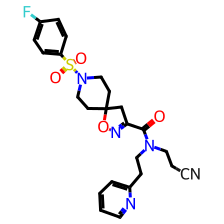 N#CCCN(CCc1ccccn1)C(=O)C1=NOC2(CCN(S(=O)(=O)c3ccc(F)cc3)CC2)C1